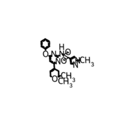 Cn1cc(S(=O)(=O)Nc2nc(Oc3ccccc3)cc(C3=CCOC(C)(C)C3)n2)cn1